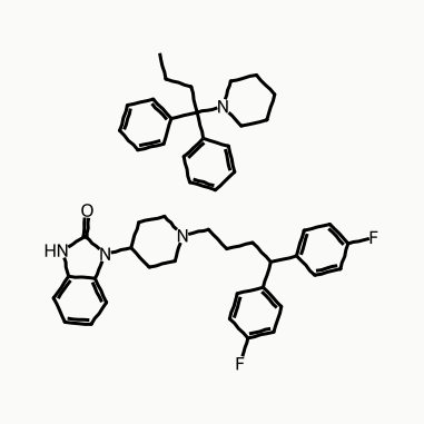 CCCC(c1ccccc1)(c1ccccc1)N1CCCCC1.O=c1[nH]c2ccccc2n1C1CCN(CCCC(c2ccc(F)cc2)c2ccc(F)cc2)CC1